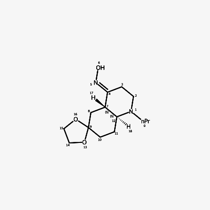 CCCN1CCC(=NO)[C@H]2CC3(CC[C@@H]21)OCCO3